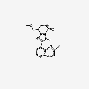 COCC1CNC(=O)c2c1[nH]c(-c1ccnc3ccc(F)nc13)c2I